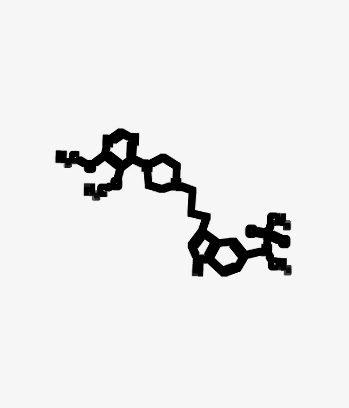 COc1ncnc(N2CCN(CCCc3c[nH]c4ccc(N(C)S(C)(=O)=O)cc34)CC2)c1OC